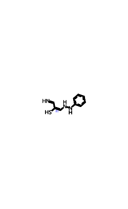 N=C/C(S)=C\NNc1ccccc1